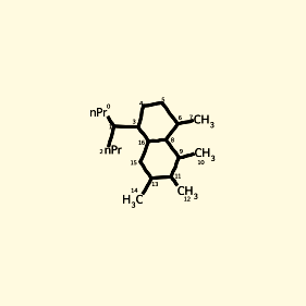 CCCC(CCC)C1CCC(C)C2C(C)C(C)C(C)CC12